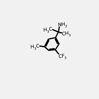 Cc1cc(C(C)(C)N)cc(C(F)(F)F)c1